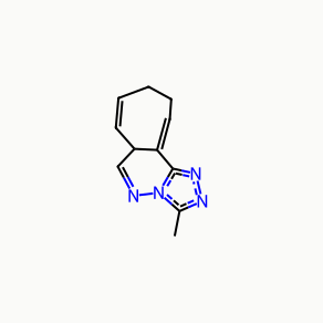 Cc1nnc2n1N=CC1C=CCCC=C21